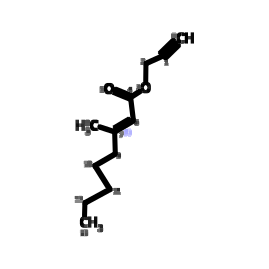 C#CCOC(=O)/C=C(\C)CCCCC